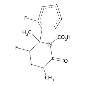 CC1CC(F)C(C)(c2ccccc2F)N(C(=O)O)C1=O